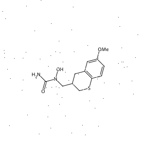 COc1ccc2c(c1)CC(CN(O)C(N)=O)CS2